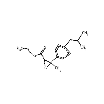 CCOC(=O)C1OC1(C)c1ccc(CC(C)C)cc1